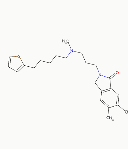 Cc1cc2c(cc1C)C(=O)N(CCCN(C)CCCCCc1cccs1)C2